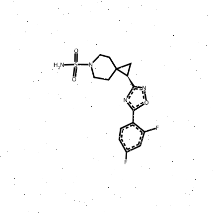 NS(=O)(=O)N1CCC2(CC1)C[C@H]2c1noc(-c2ccc(F)cc2F)n1